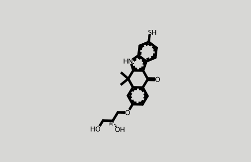 CC1(C)c2cc(OC[C@H](O)CO)ccc2C(=O)c2c1[nH]c1cc(S)ccc21